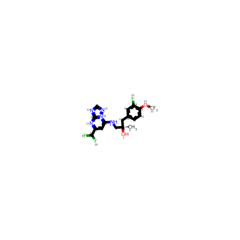 C[C@](O)(CNc1cc(C(F)F)nc2ncnn12)Cc1ccc(OC(F)(F)F)c(F)c1